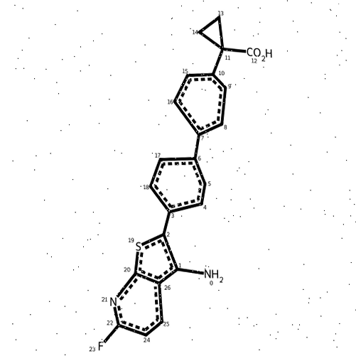 Nc1c(-c2ccc(-c3ccc(C4(C(=O)O)CC4)cc3)cc2)sc2nc(F)ccc12